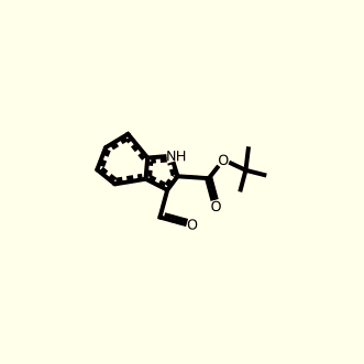 CC(C)(C)OC(=O)c1[nH]c2ccccc2c1C=O